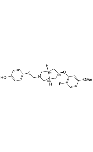 COc1ccc(F)c(O[C@H]2C[C@@H]3CN(CSc4ccc(O)cc4)C[C@@H]3C2)c1